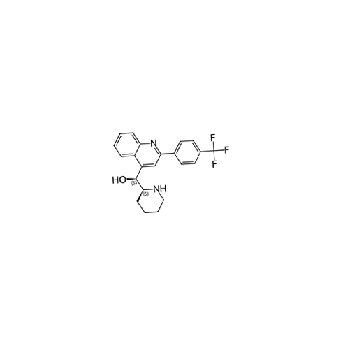 O[C@@H](c1cc(-c2ccc(C(F)(F)F)cc2)nc2ccccc12)[C@@H]1CCCCN1